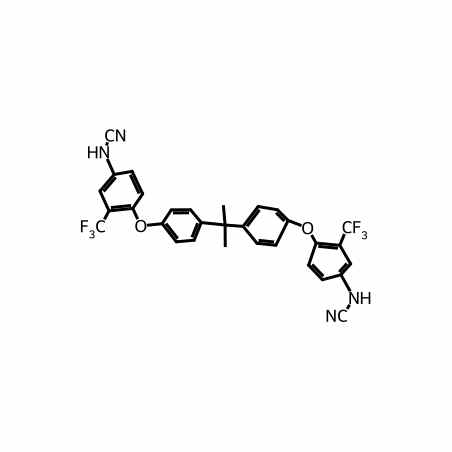 CC(C)(c1ccc(Oc2ccc(NC#N)cc2C(F)(F)F)cc1)c1ccc(Oc2ccc(NC#N)cc2C(F)(F)F)cc1